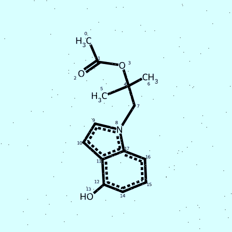 CC(=O)OC(C)(C)Cn1ccc2c(O)cccc21